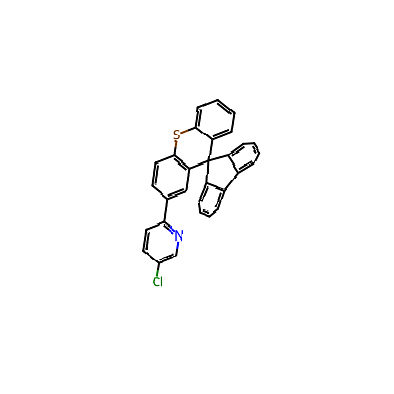 Clc1ccc(-c2ccc3c(c2)C2(c4ccccc4S3)c3ccccc3-c3ccccc32)nc1